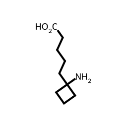 NC1(CCCCC(=O)O)CCC1